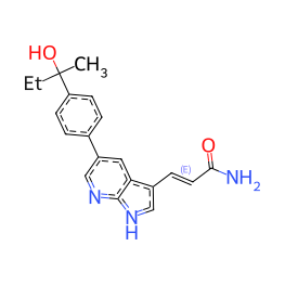 CCC(C)(O)c1ccc(-c2cnc3[nH]cc(/C=C/C(N)=O)c3c2)cc1